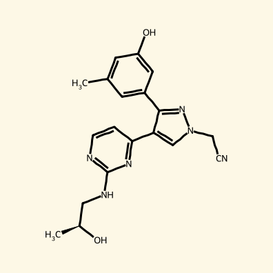 Cc1cc(O)cc(-c2nn(CC#N)cc2-c2ccnc(NC[C@H](C)O)n2)c1